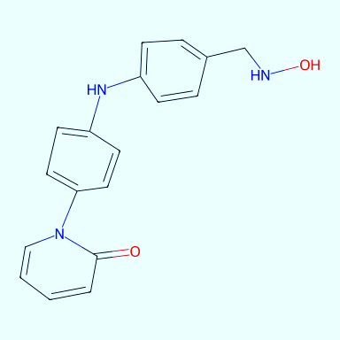 O=c1ccccn1-c1ccc(Nc2ccc(CNO)cc2)cc1